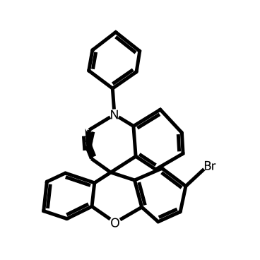 Brc1ccc2c(c1)C1(c3ccccc3O2)c2ccccc2N(c2ccccc2)c2ccccc21